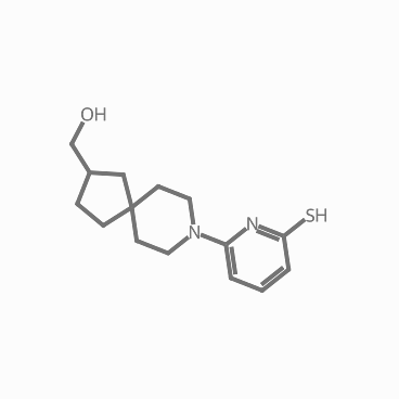 OCC1CCC2(CCN(c3cccc(S)n3)CC2)C1